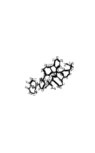 CC(C)(C)c1ccc2c(c1)C1(c3ccccc3-c3ccc(-c4cccc(N5CCCN6CCCN=C65)n4)cc31)c1cc(C(C)(C)C)ccc1-2